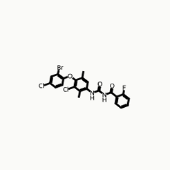 Cc1cc(NC(=O)NC(=O)c2ccccc2F)c(C)c(Cl)c1Oc1ccc(Cl)cc1Br